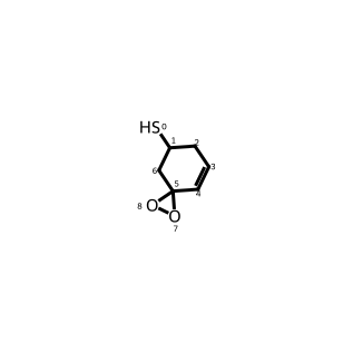 SC1CC=CC2(C1)OO2